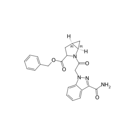 NC(=O)c1nn(CC(=O)N2C(C(=O)OCc3ccccc3)C[C@H]3C[C@H]32)c2ccccc12